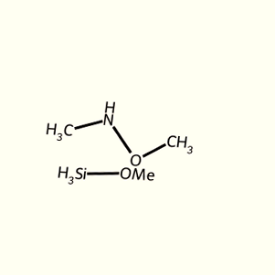 CNOC.CO[SiH3]